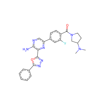 CN(C)C1CCN(C(=O)c2ccc(-c3cnc(N)c(-c4nnc(-c5ccccc5)o4)n3)cc2F)C1